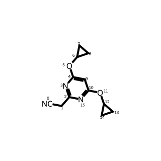 N#CCc1nc(OC2CC2)cc(OC2CC2)n1